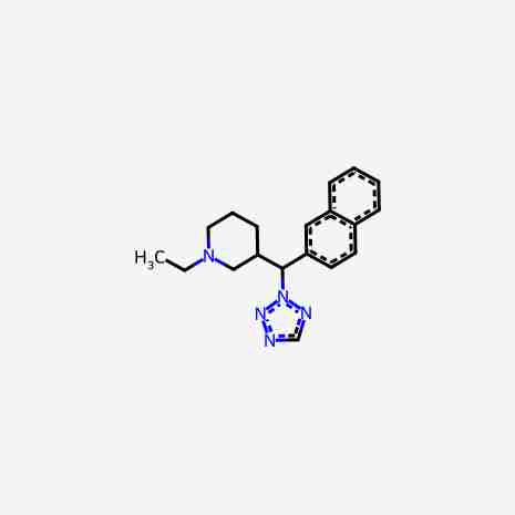 CCN1CCCC(C(c2ccc3ccccc3c2)n2ncnn2)C1